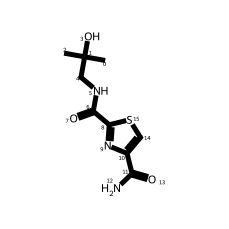 CC(C)(O)CNC(=O)c1nc(C(N)=O)cs1